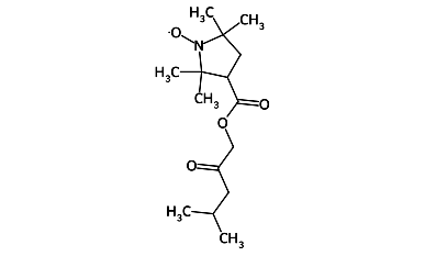 CC(C)CC(=O)COC(=O)C1CC(C)(C)N([O])C1(C)C